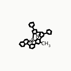 Cc1cc2c3c4c1c1cc(-c5ccccc5)cc5c6cc(-c7ccccc7)cc(c6n4c51)B3n1c3ccc4ccccc4c3c3cccc-2c31